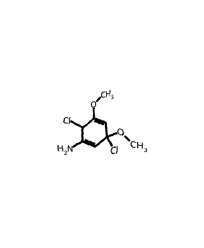 COC1=CC(Cl)(OC)C=C(N)C1Cl